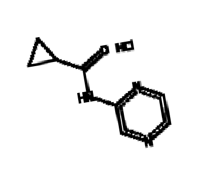 Cl.O=C(Nc1cnccn1)C1CC1